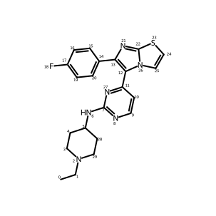 CCN1CCC(Nc2nccc(-c3c(-c4ccc(F)cc4)nc4sccn34)n2)CC1